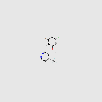 FC(F)(F)c1ccncc1Oc1cc(Cl)cc(Br)c1